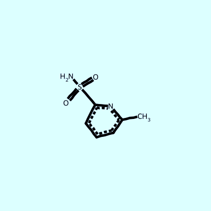 Cc1cccc(S(N)(=O)=O)n1